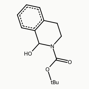 CC(C)(C)OC(=O)N1CCc2ccccc2C1O